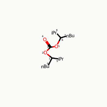 CCCCC(OC(=O)OC(CCCC)C(C)C)C(C)C